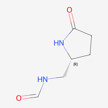 O=CNC[C@H]1CCC(=O)N1